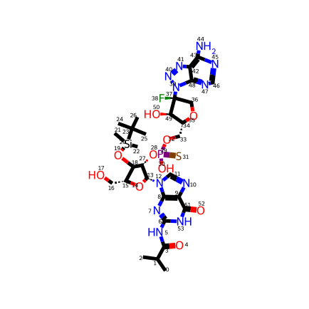 CC(C)C(=O)Nc1nc2c(ncn2[C@@H]2O[C@H](CO)C(O[Si](C)(C)C(C)(C)C)[C@@H]2OP(O)(=S)OC[C@H]2OC[C@@](F)(n3nnc4c(N)ncnc43)[C@@H]2O)c(=O)[nH]1